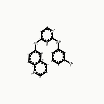 N#Cc1cccc(Nc2nccc(Nc3ccc4ncccc4c3)n2)c1